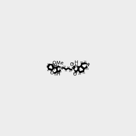 COc1cccc2c1[C@@H]1CN(CCCCn3c(=O)[nH]c4c(ccc5cnccc54)c3=O)C[C@H]1CO2